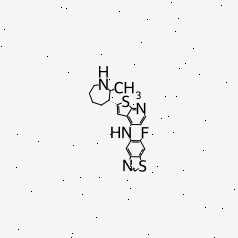 C[C@@H]1NCCCC[C@H]1c1cc2c(Nc3cc4ncsc4cc3F)ccnc2s1